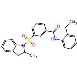 CCc1ccccc1NC(=O)c1cccc(S(=O)(=O)N2c3ccccc3CC2C)c1